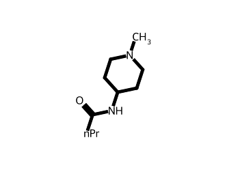 CCCC(=O)NC1CCN(C)CC1